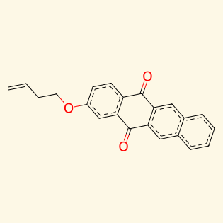 C=CCCOc1ccc2c(c1)C(=O)c1cc3ccccc3cc1C2=O